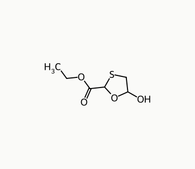 CCOC(=O)C1OC(O)CS1